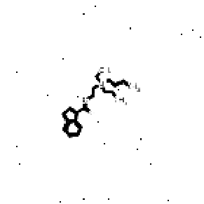 CCCC[N+](CC)(CCC)CCOC(=O)C1=CCc2ccccc21